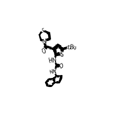 CC(C)(C)c1cc(C(=O)N2CCSCC2)c(NC(=O)Nc2cccc3ccccc23)s1